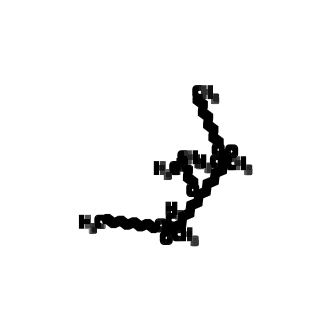 CCCCCCCCCOC(=O)C(C)(C)CCCCCC(CCCCCC(C)(C)C(=O)OCCCCCCCCC)OCCCN(C)C